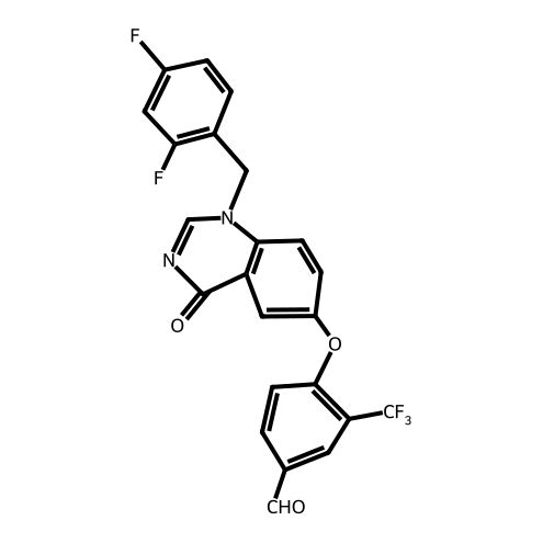 O=Cc1ccc(Oc2ccc3c(c2)c(=O)ncn3Cc2ccc(F)cc2F)c(C(F)(F)F)c1